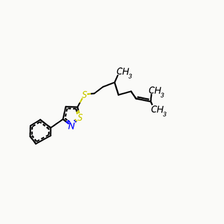 CC(C)=CCCC(C)CCSc1cc(-c2ccccc2)ns1